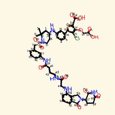 CC1(C)C[C@@H](Nc2cccc(-c3sc(C(=O)O)c(OCC(=O)O)c3Cl)c2)CCN1S(=O)(=O)Cc1cccc(NC(=O)CCCNC(=O)CNc2cccc3c2CN(C2CCC(=O)NC2=O)C3=O)c1